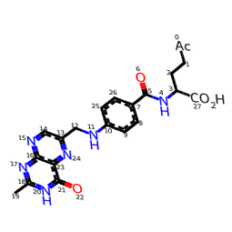 CC(=O)CCC(NC(=O)c1ccc(NCc2cnc3nc(C)[nH]c(=O)c3n2)cc1)C(=O)O